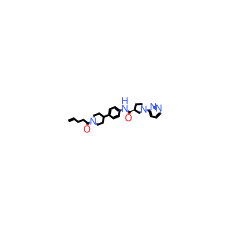 C=CCCC(=O)N1CCC(c2ccc(NC(=O)[C@H]3CCN(c4cccnn4)C3)cc2)CC1